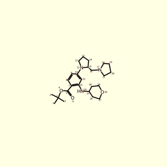 CC(C)(C)OC(=O)c1ccc(N2CCC[C@H]2CN2CCCC2)cc1NC1CCOCC1